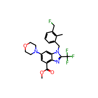 COC(=O)c1cc(N2CCOCC2)cc2c1nc(C(F)(F)F)n2Cc1cccc(CF)c1C